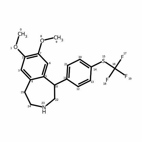 COc1cc2c(cc1OC)C(c1ccc(SC(F)(F)F)cc1)CNCC2